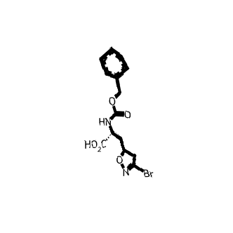 O=C(N[C@H](CC1CC(Br)=NO1)C(=O)O)OCc1ccccc1